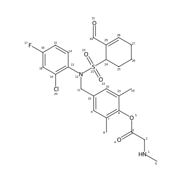 CNCC(=O)Oc1c(C)cc(CN(c2ccc(F)cc2Cl)S(=O)(=O)C2CCCC=C2C=O)cc1C